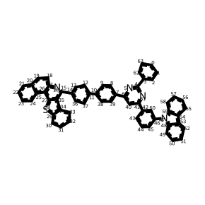 c1ccc(-c2nc(-c3ccc(-c4ccc(-c5nc6ccc7ccccc7c6c6sc7ccccc7c56)cc4)cc3)cc(-c3cccc(-n4c5ccccc5c5ccccc54)c3)n2)cc1